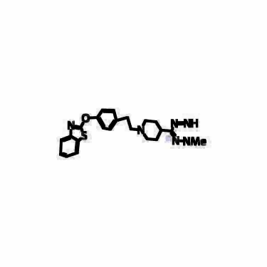 CN/N=C(\N=N)C1CCN(CCc2ccc(Oc3nc4ccccc4s3)cc2)CC1